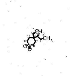 C=CC1(C(=O)CC)CCS(=O)(=O)CC1